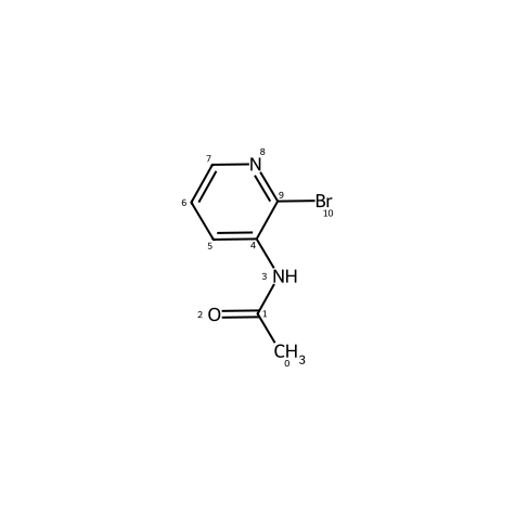 CC(=O)Nc1cccnc1Br